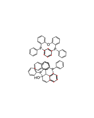 OC1(P(c2ccccc2)c2ccccc2)C=Cc2ccccc2C1c1c(P(c2ccccc2)c2ccccc2)ccc2ccccc12.c1ccc(P(c2ccccc2)c2ccccc2Oc2ccccc2P(c2ccccc2)c2ccccc2)cc1